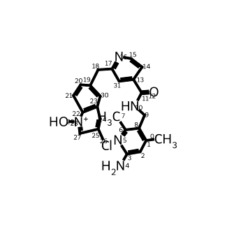 Cc1cc(N)nc(C)c1CNC(=O)c1ccnc(Cc2ccc3c(cc(Cl)c[n+]3O)c2)c1